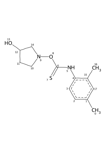 Cc1ccc(NC(=S)ON2CCC(O)C2)c(C)c1